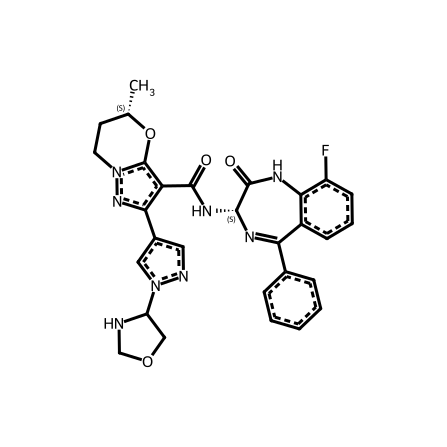 C[C@H]1CCn2nc(-c3cnn(C4COCN4)c3)c(C(=O)N[C@H]3N=C(c4ccccc4)c4cccc(F)c4NC3=O)c2O1